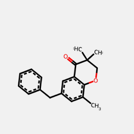 [CH]C1([CH])COc2c(C)cc(Cc3ccccc3)cc2C1=O